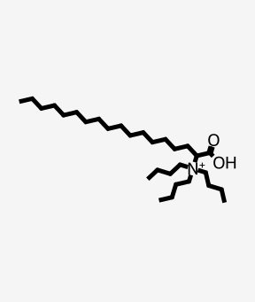 CCCCCCCCCCCCCCCCC(C(=O)O)[N+](CCCC)(CCCC)CCCC